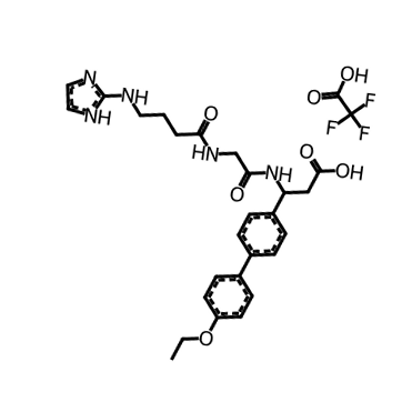 CCOc1ccc(-c2ccc(C(CC(=O)O)NC(=O)CNC(=O)CCCNc3ncc[nH]3)cc2)cc1.O=C(O)C(F)(F)F